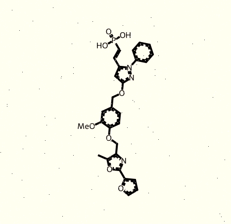 COc1cc(COc2cc(C=CP(=O)(O)O)n(-c3ccccc3)n2)ccc1OCc1nc(-c2ccco2)oc1C